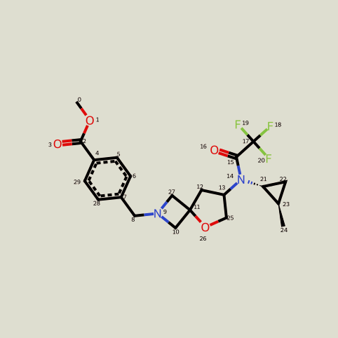 COC(=O)c1ccc(CN2CC3(CC(N(C(=O)C(F)(F)F)[C@@H]4C[C@H]4C)CO3)C2)cc1